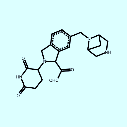 O=CC(=O)C1c2cc(CN3C4CNCC3C4)ccc2CN1C1CCC(=O)NC1=O